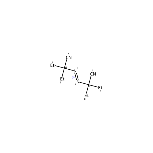 CCC(C#N)(CC)/N=N/C(C#N)(CC)CC